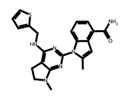 Cc1cc2c(C(N)=O)cccc2n1-c1nc(NCc2cccs2)c2c(n1)N(C)CC2